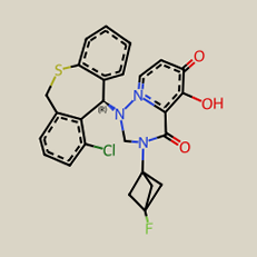 O=C1c2c(O)c(=O)ccn2N([C@@H]2c3ccccc3SCc3cccc(Cl)c32)CN1C12CC(F)(C1)C2